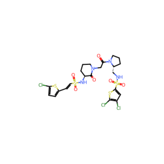 O=C1[C@@H](NS(=O)(=O)/C=C/c2ccc(Cl)s2)CCCN1CC(=O)N1CCC[C@@H]1CNS(=O)(=O)c1cc(Cl)c(Cl)s1